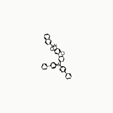 c1ccc(-c2ccc(N(c3ccc(-c4ccccc4)cc3)c3ccc4oc5cc6nc(-c7ccc8ccccc8c7)oc6cc5c4c3)cc2)cc1